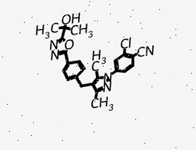 Cc1nn(-c2ccc(C#N)c(Cl)c2)c(C)c1Cc1ccc(-c2nnc(C(C)(C)O)o2)cc1